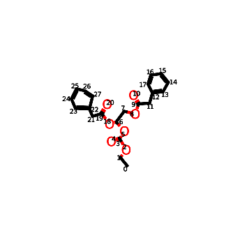 CCOC(=O)OC(COC(=O)Cc1ccccc1)OC(=O)Cc1ccccc1